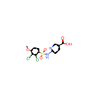 COc1ccc(S(=O)(=O)Nc2ccc(C(=O)O)cn2)c(Cl)c1Cl